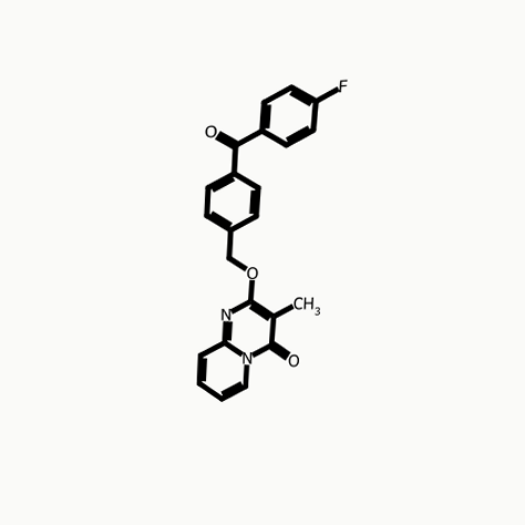 Cc1c(OCc2ccc(C(=O)c3ccc(F)cc3)cc2)nc2ccccn2c1=O